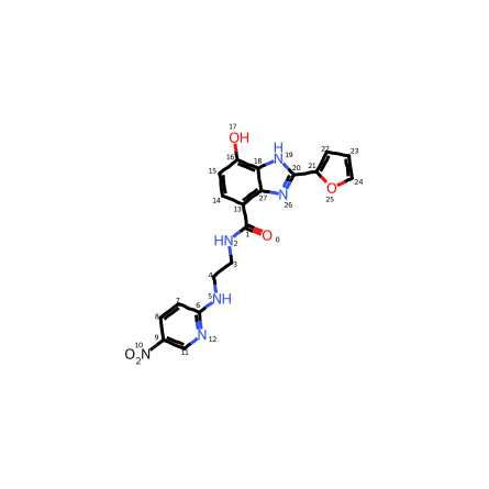 O=C(NCCNc1ccc([N+](=O)[O-])cn1)c1ccc(O)c2[nH]c(-c3ccco3)nc12